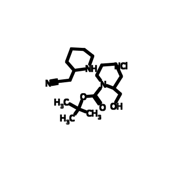 CC(C)(C)OC(=O)N1CCCCC1CO.Cl.N#CCC1CCCCN1